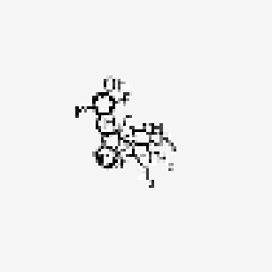 CC(C)[Si](C(C)C)(C(C)C)N1C=C(Cc2cc(F)c(O)cc2F)C2C=CC=NC21